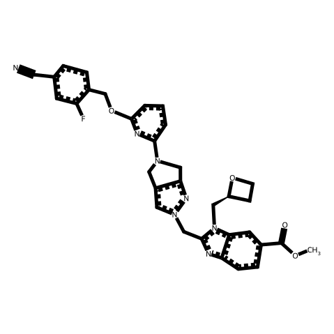 COC(=O)c1ccc2nc(Cn3cc4c(n3)CN(c3cccc(OCc5ccc(C#N)cc5F)n3)C4)n(C[C@@H]3CCO3)c2c1